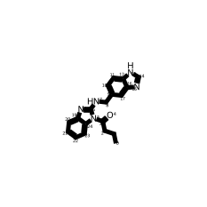 CCCC(=O)n1c(NCc2ccc3[nH]cnc3c2)nc2ccccc21